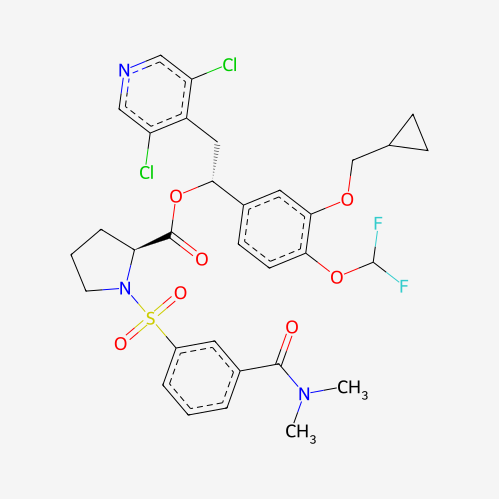 CN(C)C(=O)c1cccc(S(=O)(=O)N2CCC[C@H]2C(=O)O[C@H](Cc2c(Cl)cncc2Cl)c2ccc(OC(F)F)c(OCC3CC3)c2)c1